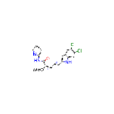 CO/C(=C/C=C/c1cc2cc(Cl)c(Cl)cc2[nH]1)C(=O)Nc1ccccn1